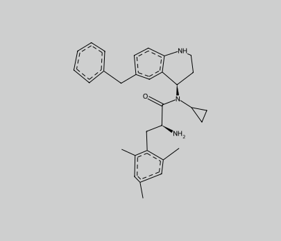 Cc1cc(C)c(C[C@H](N)C(=O)N(C2CC2)[C@@H]2CCNc3ccc(Cc4ccccc4)cc32)c(C)c1